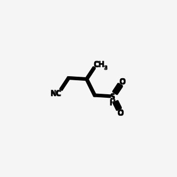 CC(CC#N)C[SH](=O)=O